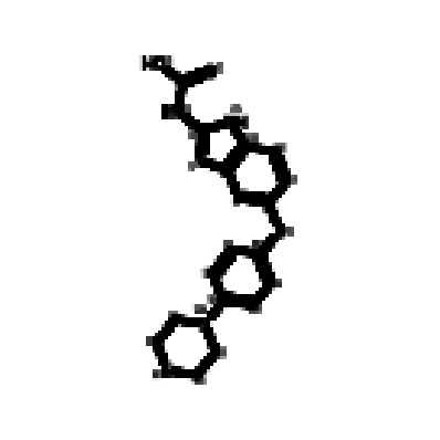 O=C(O)Nc1nc2cc(Sc3ccc(N4CCSCC4)cc3)ccc2[nH]1